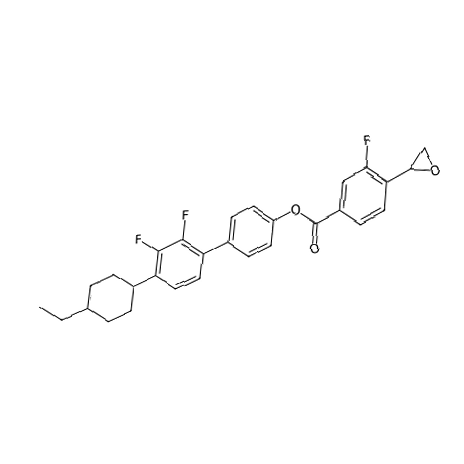 CCC1CCC(c2ccc(-c3ccc(OC(=O)c4ccc(C5CO5)c(F)c4)cc3)c(F)c2F)CC1